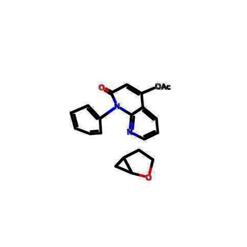 C1CC2CC2O1.CC(=O)Oc1cc(=O)n(-c2ccccc2)c2ncccc12